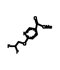 COC(=O)c1ccc(OCC(F)F)nc1